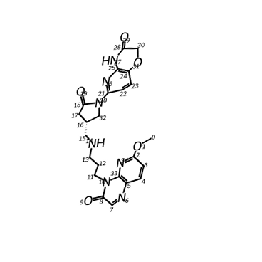 COc1ccc2ncc(=O)n(CCCNC[C@@H]3CC(=O)N(c4ccc5c(n4)NC(=O)CO5)C3)c2n1